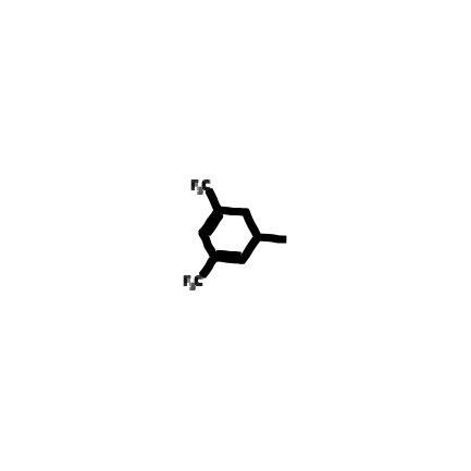 CC1C=C(C(F)(F)F)C=C(C(F)(F)F)C1